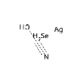 N#CO.[Ag].[SeH2]